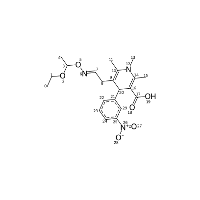 CCOC(C)ON=CCC1=C(C)N(C)C(C)=C(C(=O)O)C1c1cccc([N+](=O)[O-])c1